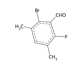 Cc1cc(C)c(Br)c(C=O)c1F